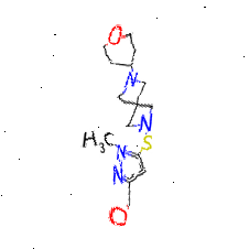 Cn1nc(C=O)cc1SN1CC2(C1)CN(C1CCOCC1)C2